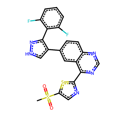 CS(=O)(=O)c1cnc(-c2ncnc3ccc(-c4c[nH]nc4-c4c(F)cccc4F)cc23)s1